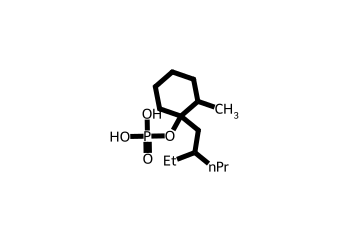 CCCC(CC)CC1(OP(=O)(O)O)CCCCC1C